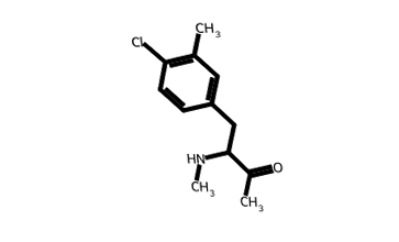 CNC(Cc1ccc(Cl)c(C)c1)C(C)=O